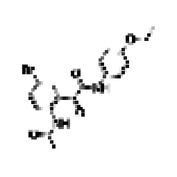 CCOc1ccc(NC(=O)C(=O)c2cc(Br)ccc2NC(C)=O)cc1